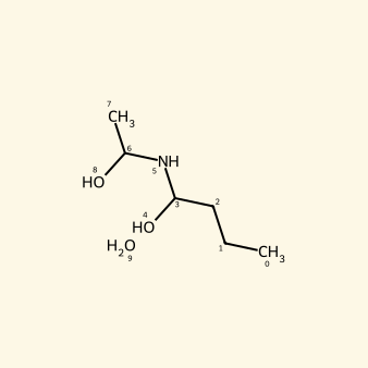 CCCC(O)NC(C)O.O